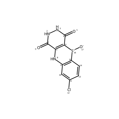 O=c1[nH][nH]c(=O)c2c1Nc1cc(Cl)ccc1[S+]2[O-]